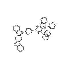 c1ccc(-c2nc(-c3ccc(-n4c5ccccc5c5cc6oc7ccccc7c6cc54)cc3)nc3c2[Si](c2ccccc2)(c2ccccc2)c2ccccc2-3)cc1